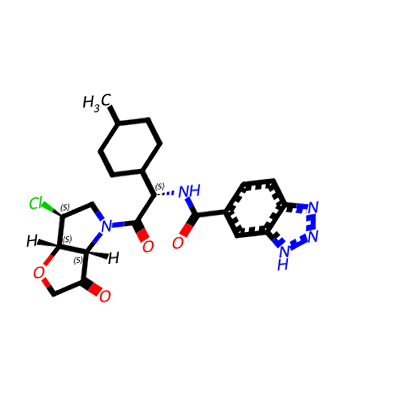 CC1CCC([C@H](NC(=O)c2ccc3nn[nH]c3c2)C(=O)N2C[C@H](Cl)[C@H]3OCC(=O)[C@H]32)CC1